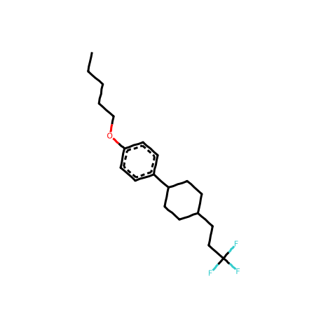 CCCCCOc1ccc(C2CCC(CCC(F)(F)F)CC2)cc1